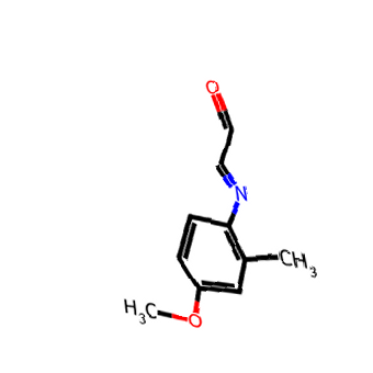 COc1ccc(N=CC=O)c(C)c1